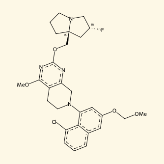 COCOc1cc(N2CCc3c(nc(OC[C@@]45CCCN4C[C@H](F)C5)nc3OC)C2)c2c(Cl)cccc2c1